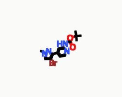 Cn1cc(Br)c(-c2ccnc(NC(=O)OC(C)(C)C)c2)n1